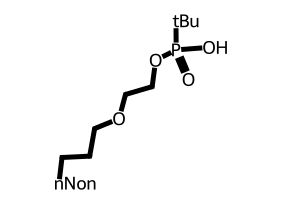 CCCCCCCCCCCCOCCOP(=O)(O)C(C)(C)C